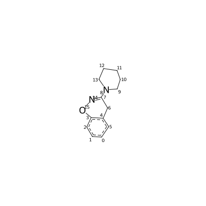 c1ccc2c(c1)CC(N1CCCCC1)=NO2